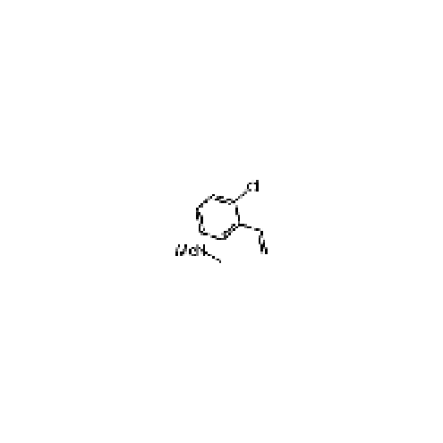 C=Cc1ccccc1Cl.CNC